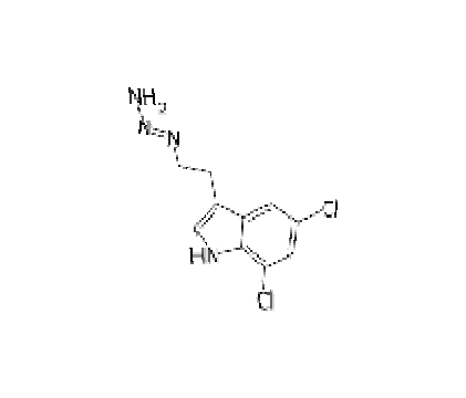 NN=NCCc1c[nH]c2c(Cl)cc(Cl)cc12